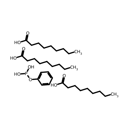 CCCCCCCCC(=O)O.CCCCCCCCC(=O)O.CCCCCCCCC(=O)O.OP(O)Oc1ccccc1